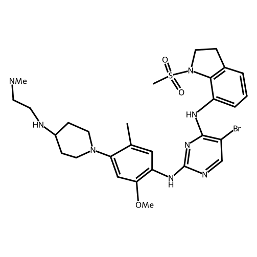 CNCCNC1CCN(c2cc(OC)c(Nc3ncc(Br)c(Nc4cccc5c4N(S(C)(=O)=O)CC5)n3)cc2C)CC1